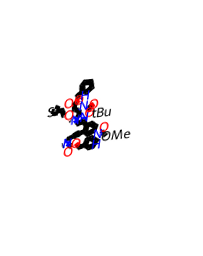 COC(=O)Nc1ccc(-c2cn(COCC[Si](C)(C)C)c(C(CC(=O)OCc3ccccc3)NC(=O)OC(C)(C)C)n2)c(C#CCN(C)C(=O)OCc2ccccc2)c1